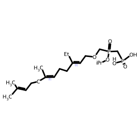 CC/C(=C\COCP(=O)(CP(=O)(O)O)OC(C)C)CC/C=C(\C)CCC=C(C)C